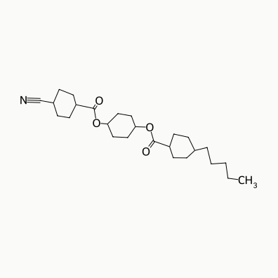 CCCCCC1CCC(C(=O)OC2CCC(OC(=O)C3CCC(C#N)CC3)CC2)CC1